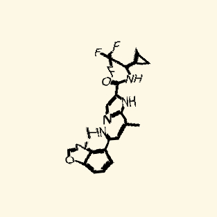 C/C(=C/C(=N)c1cccc2ocnc12)c1ncc(C(=O)NC(C2CC2)C(F)(F)F)[nH]1